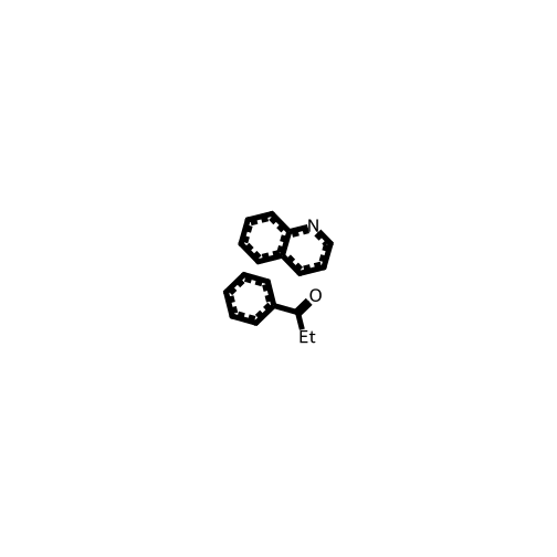 CCC(=O)c1ccccc1.c1ccc2ncccc2c1